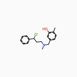 Cc1ccc(CN(C)CCC(Cl)c2ccccc2)cc1O